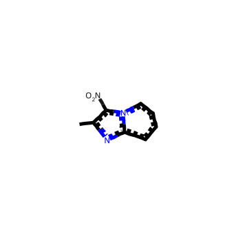 Cc1nc2ccccn2c1[N+](=O)[O-]